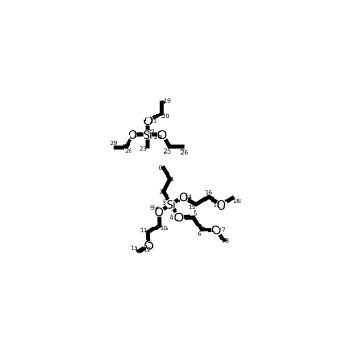 CCC[Si](OCCOC)(OCCOC)OCCOC.CCO[Si](C)(OCC)OCC